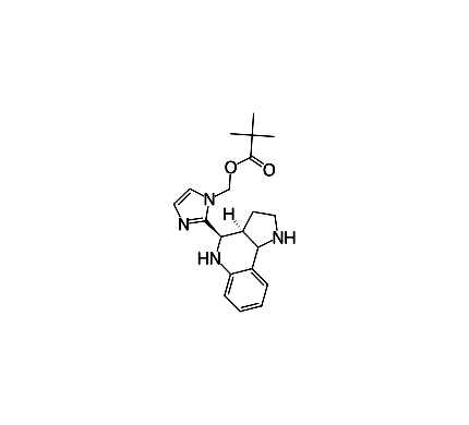 CC(C)(C)C(=O)OCn1ccnc1[C@@H]1Nc2ccccc2C2NCC[C@@H]21